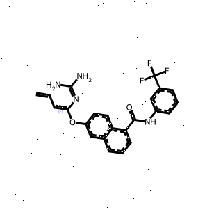 C=C/C=C(\N=C(N)N)Oc1ccc2c(C(=O)Nc3cccc(C(F)(F)F)c3)cccc2c1